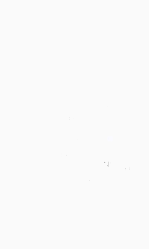 C=CCOC(=O)/C(=C(/CC)c1ccccc1)[N+](=O)[O-]